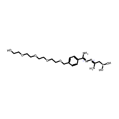 N/C(CP(O)O)=N\N=C(/N)c1ccc(COCCOCCOCCOCCO)cc1